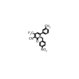 [C-]#[N+]c1c(C(F)(F)F)cc(-c2cccc(C)c2)n(Cc2ccc([N+](=O)[O-])cc2)c1=O